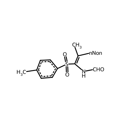 CCCCCCCCC/C(C)=C(\NC=O)S(=O)(=O)c1ccc(C)cc1